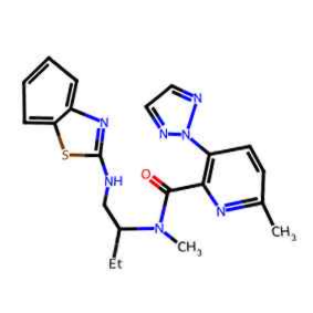 CCC(CNc1nc2ccccc2s1)N(C)C(=O)c1nc(C)ccc1-n1nccn1